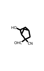 N#CC1(C=O)CC2CC(O)C1C2